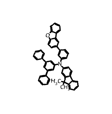 CC1(C)c2ccccc2-c2ccc(N(c3cccc(-c4ccc5oc6ccccc6c5c4)c3)c3cc(-c4ccccc4)cc(-c4ccccc4)c3)cc21